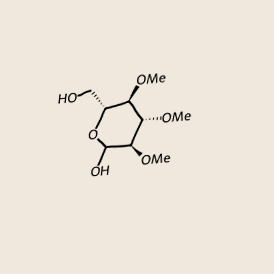 CO[C@H]1[C@H](OC)[C@@H](OC)C(O)O[C@@H]1CO